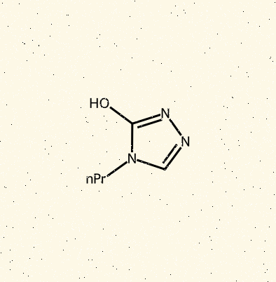 CCCn1cnnc1O